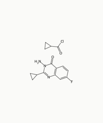 Nn1c(C2CC2)nc2cc(F)ccc2c1=O.O=C(Cl)C1CC1